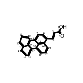 O=C(O)/C=C/c1ccc2c3cccc4cccc(c5cccc1c52)c43